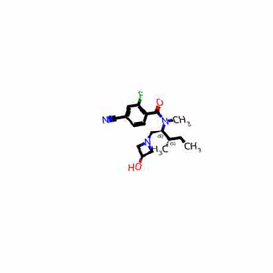 CC[C@H](C)[C@@H](CN1CC(O)C1)N(C)C(=O)c1ccc(C#N)cc1F